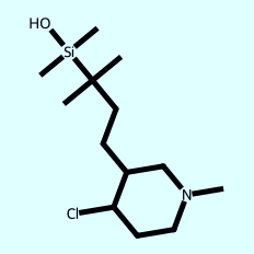 CN1CCC(Cl)C(CCC(C)(C)[Si](C)(C)O)C1